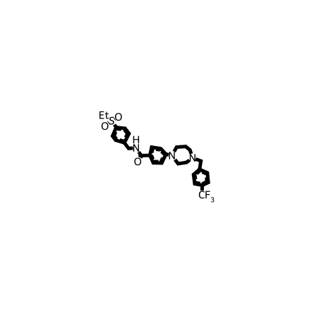 CCS(=O)(=O)c1ccc(CNC(=O)c2ccc(N3CCCN(Cc4ccc(C(F)(F)F)cc4)CC3)cc2)cc1